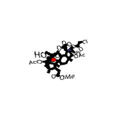 COC(=O)CC1C2(C)CC34OC5(C)OC67C(/C(=C(/OC(=O)CCl)C(C)C)C(=O)OC6C3(O)C2OC(C)=O)C(C)(C(OC(C)=O)c2ccoc2)CCC7(O5)C14C